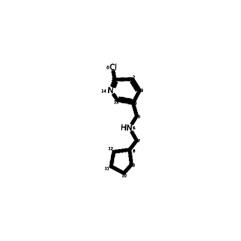 Clc1ccc(CNCC2CCCC2)cn1